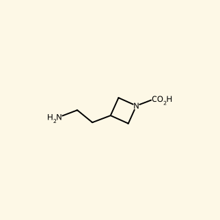 NCCC1CN(C(=O)O)C1